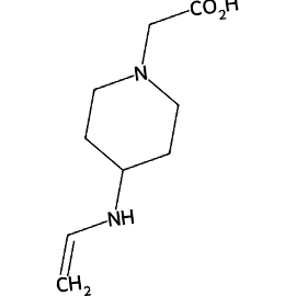 C=CNC1CCN(CC(=O)O)CC1